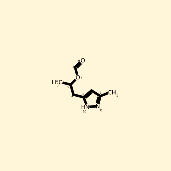 Cc1cc(CC(C)OC=O)[nH]n1